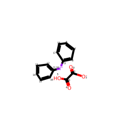 O=C([O-])C(=O)O.c1ccc([I+]c2ccccc2)cc1